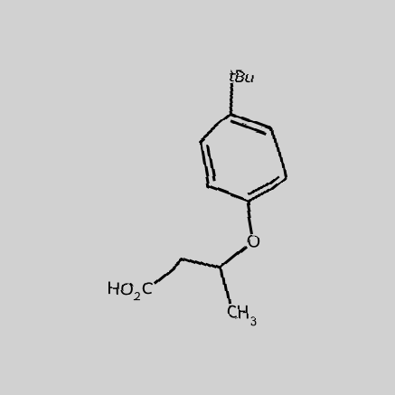 CC(CC(=O)O)Oc1ccc(C(C)(C)C)cc1